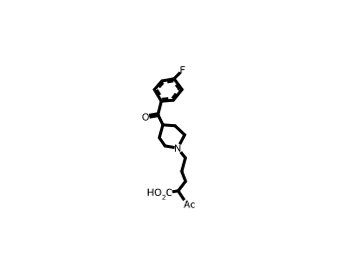 CC(=O)C(CCCN1CCC(C(=O)c2ccc(F)cc2)CC1)C(=O)O